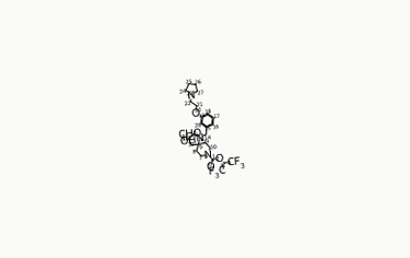 O=C(OC(C(F)(F)F)C(F)(F)F)N1CCC2(CCCN2Cc2cccc(OCCN3CCCC3)c2)CC1.O=CO